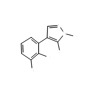 Clc1c(Br)cccc1-c1cnn(Cl)c1Cl